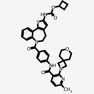 Cc1ccc(C(=O)Nc2ccc(C(=O)N3CCc4cc(NC(=O)OC5CCC5)sc4-c4ccccc43)cc2)c(N2CC3(CCOCC3)C2)n1